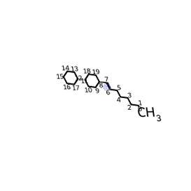 CCCCCC/C=C/[C@H]1CC[C@H](C2CCCCC2)CC1